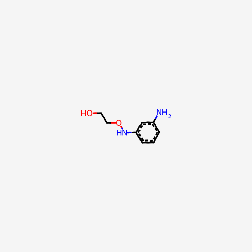 Nc1cccc(NOCCO)c1